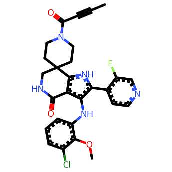 CC#CC(=O)N1CCC2(CC1)CNC(=O)c1c2[nH]c(-c2ccncc2F)c1Nc1cccc(Cl)c1OC